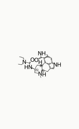 CCN(CC)C(=O)N[C@H]1C[C@@H]2c3c(C(N)=O)ccc4[nH]cc(c34)C[C@H]2N(C)C1